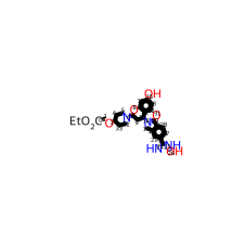 CCOC(=O)COC1CCN(C(=O)CC(c2ccc(O)cc2)N2Cc3cc(C(=N)NO)ccc3C2=O)CC1